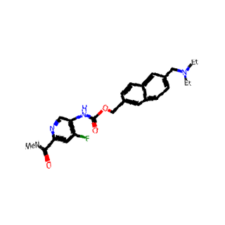 CCN(CC)Cc1ccc2cc(COC(=O)Nc3cnc(C(=O)NC)cc3F)ccc2c1